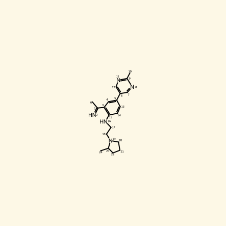 CC(=N)c1cc(-c2cnc(C)nc2)ccc1NCCN1CCCC1C